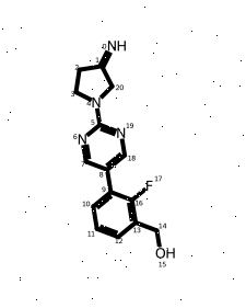 N=C1CCN(c2ncc(-c3cccc(CO)c3F)cn2)C1